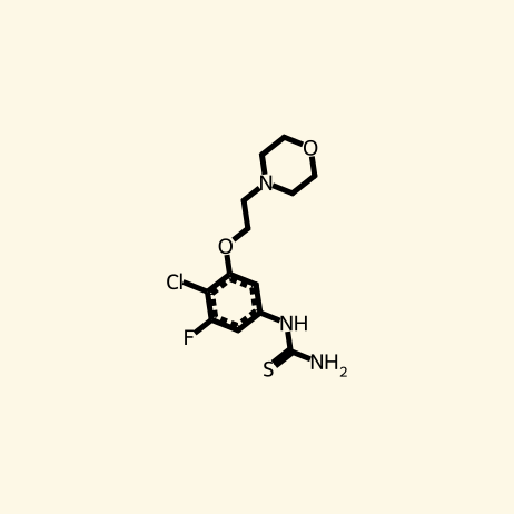 NC(=S)Nc1cc(F)c(Cl)c(OCCN2CCOCC2)c1